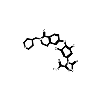 NC(=O)c1noc(=O)n1-c1cc(Cl)c(Oc2ccc3c(c2)CCN(CC2CCOCC2)C3=O)c(Cl)c1